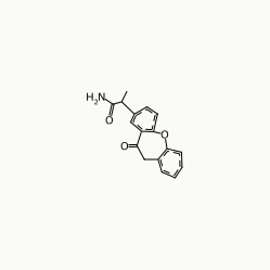 CC(C(N)=O)c1ccc2c(c1)C(=O)Cc1ccccc1O2